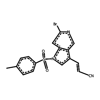 Cc1ccc(S(=O)(=O)n2cc(/C=C/C#N)c3cnc(Br)cc32)cc1